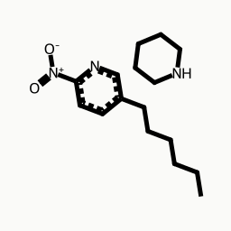 C1CCNCC1.CCCCCCc1ccc([N+](=O)[O-])nc1